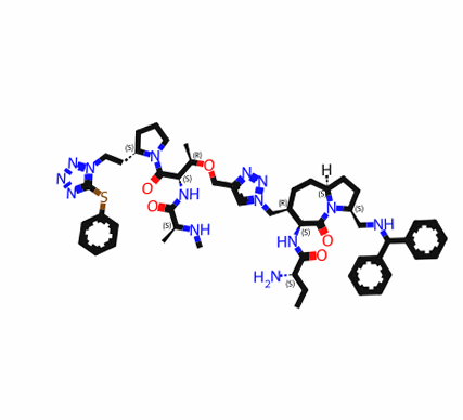 CC[C@H](N)C(=O)N[C@@H]1C(=O)N2[C@@H](CC[C@@H]1Cn1cc(CO[C@H](C)[C@H](NC(=O)[C@H](C)NC)C(=O)N3CCC[C@H]3CCn3nnnc3Sc3ccccc3)nn1)CC[C@H]2CNC(c1ccccc1)c1ccccc1